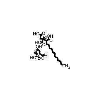 CCCCCCCCCCCCC(C(=O)O)C(O)(CC(=O)O)C(=O)O.O=C(O)CC(C(=O)O)S(=O)(=O)O